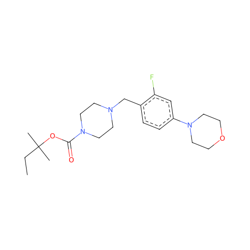 CCC(C)(C)OC(=O)N1CCN(Cc2ccc(N3CCOCC3)cc2F)CC1